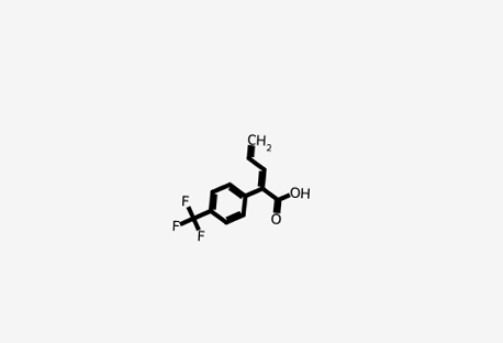 C=C/C=C(/C(=O)O)c1ccc(C(F)(F)F)cc1